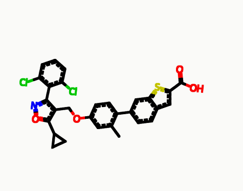 Cc1cc(OCc2c(-c3c(Cl)cccc3Cl)noc2C2CC2)ccc1-c1ccc2cc(C(=O)O)sc2c1